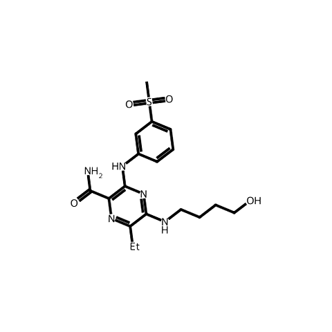 CCc1nc(C(N)=O)c(Nc2cccc(S(C)(=O)=O)c2)nc1NCCCCO